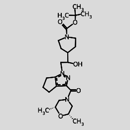 C[C@@H]1CN(C(=O)c2nn(CC(O)C3CCN(C(=O)OC(C)(C)C)CC3)c3c2CCC3)C[C@H](C)O1